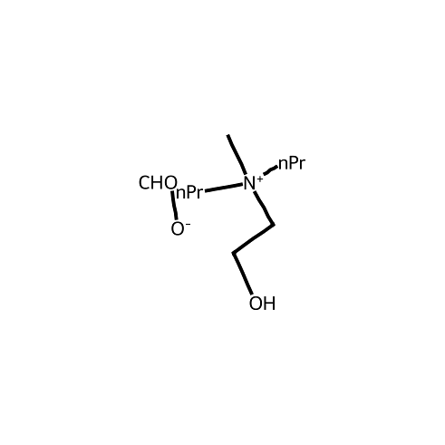 CCC[N+](C)(CCC)CCO.O=C[O-]